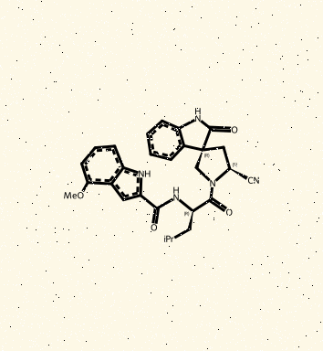 COc1cccc2[nH]c(C(=O)N[C@H](CC(C)C)C(=O)N3C[C@]4(C[C@H]3C#N)C(=O)Nc3ccccc34)cc12